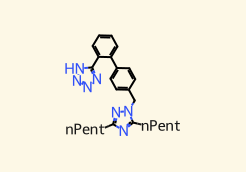 CCCCCc1nc(CCCCC)n(Cc2ccc(-c3ccccc3-c3nnn[nH]3)cc2)n1